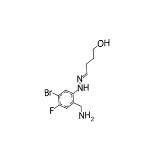 NCc1cc(F)c(Br)cc1NN=CCCCO